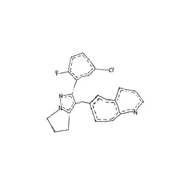 Fc1ccc(Cl)cc1-c1nn2c(c1-c1ccc3ncccc3c1)CCC2